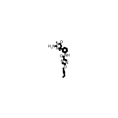 CCC#CCOc1cnc(C(=O)Nc2cccc(C3(C)CC(=O)N(C)C(N)=N3)c2)cn1